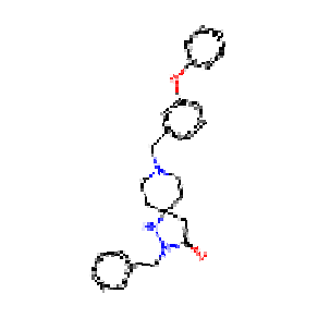 O=C1CC2(CCN(Cc3cccc(Oc4ccccc4)c3)CC2)NN1Cc1ccccc1